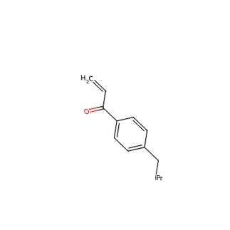 C=CC(=O)c1ccc(CC(C)C)cc1